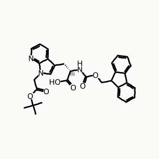 CC(C)(C)OC(=O)Cn1cc(C[C@H](NC(=O)OCC2c3ccccc3-c3ccccc32)C(=O)O)c2cccnc21